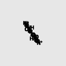 Cc1cc(NC(=O)c2ccc(-c3ccc(C(=O)Nc4ccc([N+](C)(C)C)c(C)c4)cc3)cc2)ccc1[N+](C)(C)C